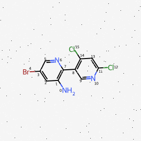 Nc1cc(Br)cnc1-c1cnc(Cl)cc1Cl